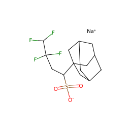 O=S(=O)([O-])C(CC(F)(F)C(F)F)C12CC3CC(CC(C3)C1)C2.[Na+]